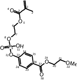 C=C(C)C(=O)OCCOP(=O)(O)Oc1ccc(C(=O)OCCOC)cc1